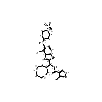 Cc1nocc1C(=O)NC(c1nc2c(F)c(NC3CCN(S(C)(=O)=O)CC3)ccc2[nH]1)C1CCCCCCC1